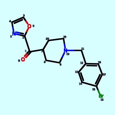 O=C(c1ncco1)C1CCN(Cc2ccc(Br)cc2)CC1